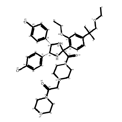 CCOCC(C)(C)c1ccc(C2(C(=O)N3CCN(CC(=O)N4CCOCC4)CC3)N[C@H](c3ccc(Cl)cc3)[C@H](c3ccc(Cl)cc3)N2)c(OCC)c1